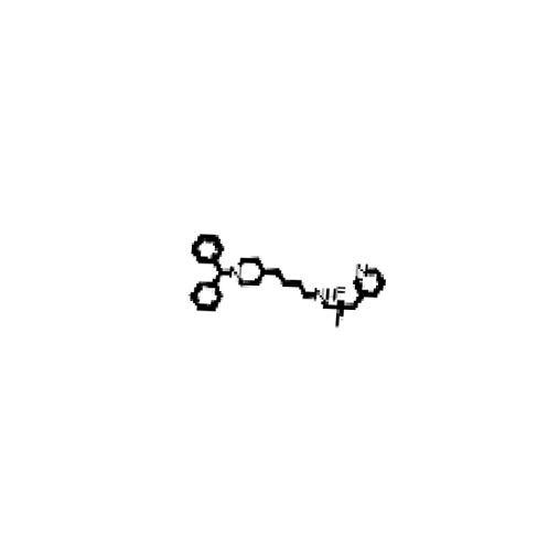 FC(F)(CNCCCCC1CCN(C(c2ccccc2)c2ccccc2)CC1)Cc1cccnc1